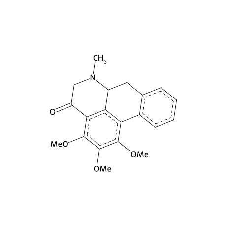 COc1c(OC)c2c3c(c1OC)-c1ccccc1CC3N(C)CC2=O